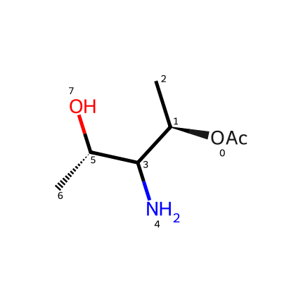 CC(=O)O[C@H](C)C(N)[C@H](C)O